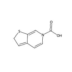 O=C(O)N1C=CC2=CCSC2=C1